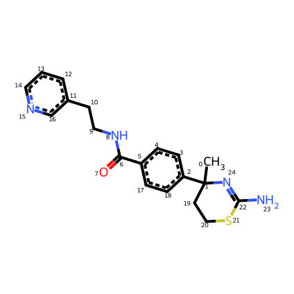 CC1(c2ccc(C(=O)NCCc3cccnc3)cc2)CCSC(N)=N1